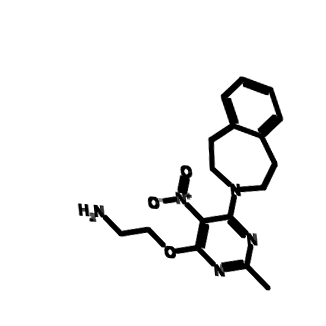 Cc1nc(OCCN)c([N+](=O)[O-])c(N2CCc3ccccc3CC2)n1